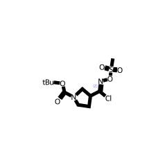 CC(C)(C)OC(=O)N1CCC(/C(Cl)=N/OS(C)(=O)=O)C1